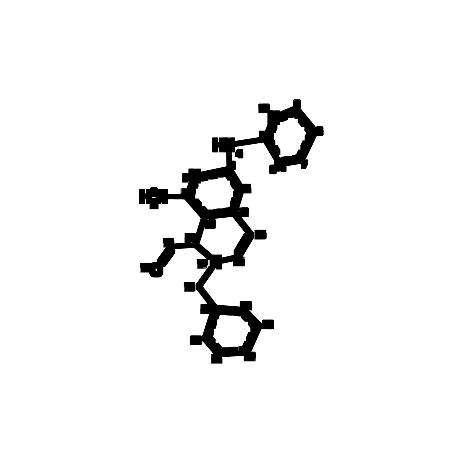 Nc1nc(Nc2ncccn2)cc2c1C(C=O)N(Cc1ccccc1)C=C2